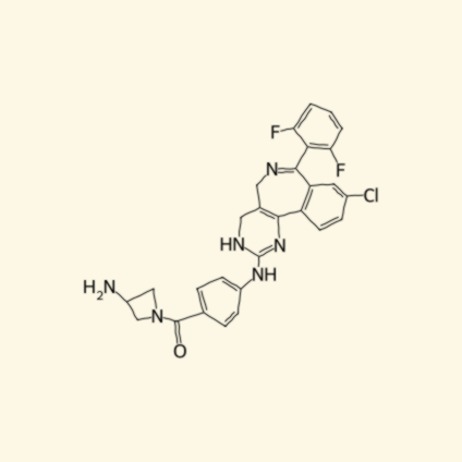 NC1CN(C(=O)c2ccc(NC3=NC4=C(CN=C(c5c(F)cccc5F)c5cc(Cl)ccc54)CN3)cc2)C1